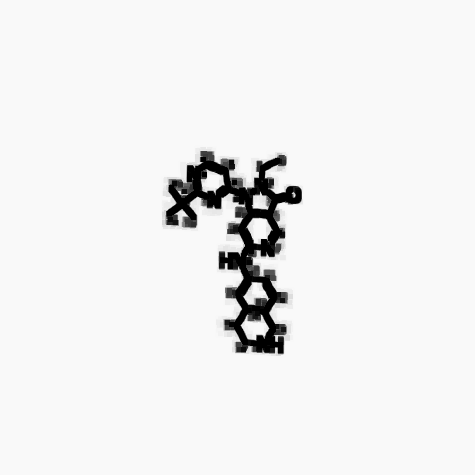 CCn1c(=O)c2cnc(Nc3ccc4c(c3)CCNC4)cc2n1-c1ccnc(C(C)(C)C)n1